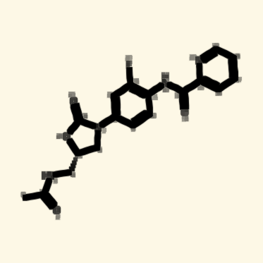 CC(=O)NC[C@H]1CN(c2ccc(NC(=O)c3ccccn3)c(F)c2)C(=O)O1